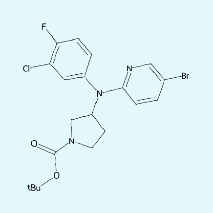 CC(C)(C)OC(=O)N1CCC(N(c2ccc(F)c(Cl)c2)c2ccc(Br)cn2)C1